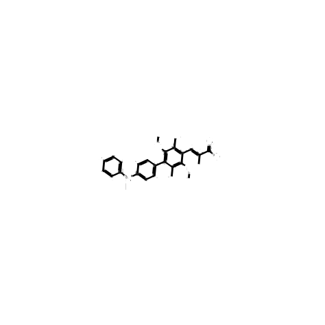 COc1c(C)c(-c2ccc(Nc3ccccc3)cc2)c(OC)c(C)c1/C=C(\C)C(=O)O